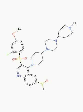 CCOc1ccc(S(=O)(=O)c2cnc3ccc([S+](C)[O-])cc3c2N2CCC(N3CCN(C4CCN(CC)CC4)CC3)CC2)c(F)c1